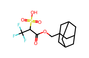 O=C(OCC12CC3CC(CC(C3)C1)C2)C(C(F)(F)F)S(=O)(=O)O